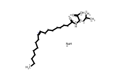 CCCCCCCC/C=C\CCCCCCCC(=O)N[C@@H](CC(C)C)C(=O)O.[NaH]